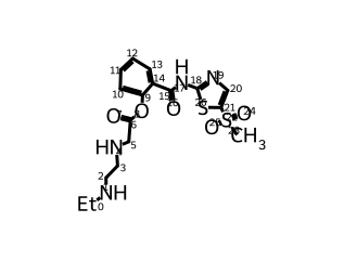 CCNCCNCC(=O)Oc1ccccc1C(=O)Nc1ncc(S(C)(=O)=O)s1